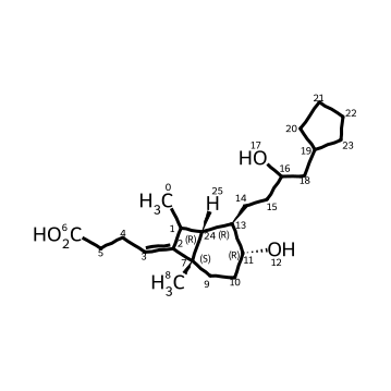 CC1C(=CCCC(=O)O)[C@@]2(C)CC[C@@H](O)[C@H](CCC(O)CC3CCCC3)[C@@H]12